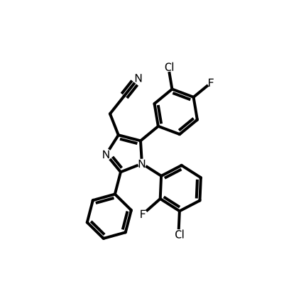 N#CCc1nc(-c2ccccc2)n(-c2cccc(Cl)c2F)c1-c1ccc(F)c(Cl)c1